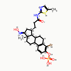 Cc1cnc(NC(=O)CC[C@@H]2CC(=NO)[C@@]3(C)CCC4c5ccc(OP(=O)(O)O)c(Br)c5CCC4C23)s1